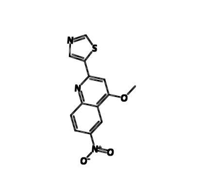 COc1cc(-c2cncs2)nc2ccc([N+](=O)[O-])cc12